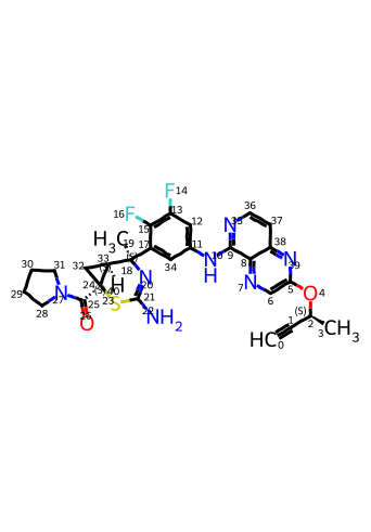 C#C[C@H](C)Oc1cnc2c(Nc3cc(F)c(F)c([C@@]4(C)N=C(N)S[C@@]5(C(=O)N6CCCC6)C[C@H]54)c3)nccc2n1